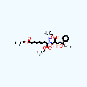 CCOC(=O)CCCC=CCC(NC(=O)C(CCC(C)(O)C1CCCCC1)C(=O)OCC)C(=O)OCC